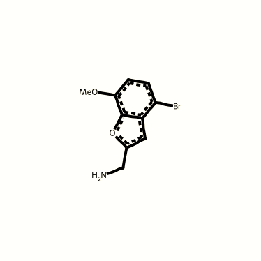 COc1ccc(Br)c2cc(CN)oc12